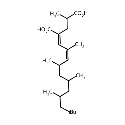 CCC(C)CC(C)CC(C)CC(C)C=C(C)C=C(CC(C)C(=O)O)C(=O)O